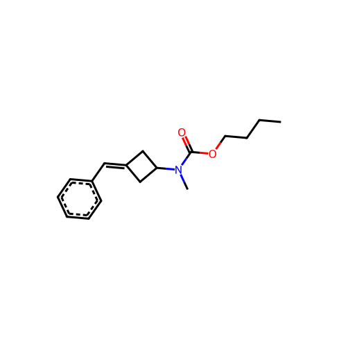 CCCCOC(=O)N(C)C1CC(=Cc2ccccc2)C1